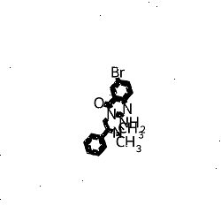 CN(C)C(Cn1c(N)nc2ccc(Br)cc2c1=O)c1ccccc1